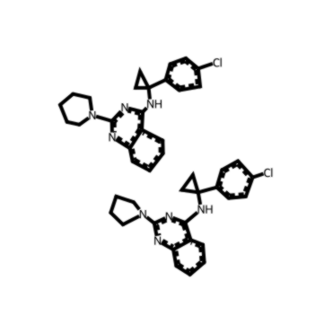 Clc1ccc(C2(Nc3nc(N4CCCC4)nc4ccccc34)CC2)cc1.Clc1ccc(C2(Nc3nc(N4CCCCC4)nc4ccccc34)CC2)cc1